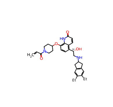 C=CC(=O)N1CCC(Oc2ccc([C@H](O)CNC3Cc4cc(CC)c(CC)cc4C3)c3ccc(=O)[nH]c23)CC1